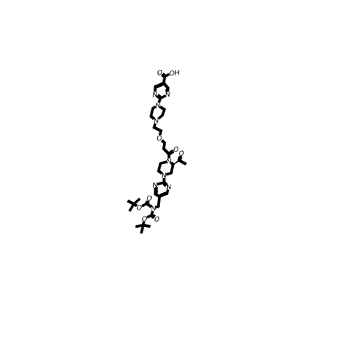 CC(=O)[C@H]1CN(c2ncc(CN(C(=O)OC(C)(C)C)C(=O)OC(C)(C)C)cn2)CCN1C(=O)CCOCCN1CCN(c2ncc(C(=O)O)cn2)CC1